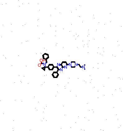 CN(C)CCN1CCN(c2ccc3nc(-c4ccc(C5(N(Cc6ccccc6)C(=O)O)CC5)cc4)c(-c4ccccc4)nc3n2)CC1